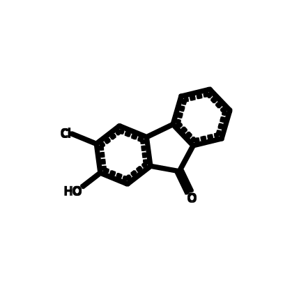 O=C1c2ccccc2-c2cc(Cl)c(O)cc21